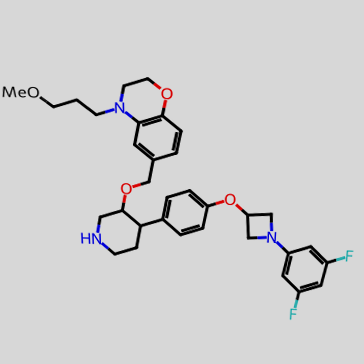 COCCCN1CCOc2ccc(COC3CNCCC3c3ccc(OC4CN(c5cc(F)cc(F)c5)C4)cc3)cc21